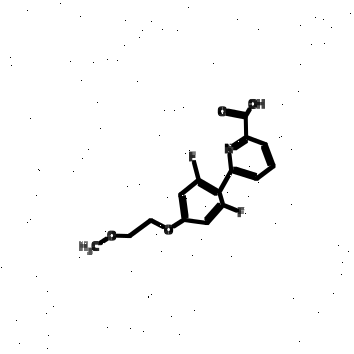 COCCOc1cc(F)c(-c2cccc(C(=O)O)n2)c(F)c1